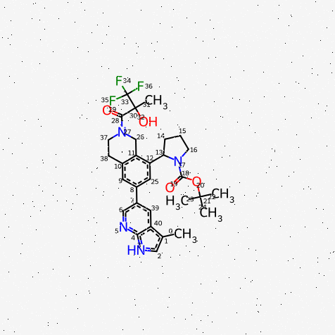 Cc1c[nH]c2ncc(-c3cc4c(c(C5CCCN5C(=O)OC(C)(C)C)c3)CN(C(=O)C(C)(O)C(F)(F)F)CC4)cc12